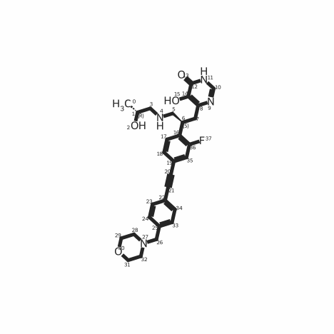 C[C@@H](O)CNC[C@@H](Cc1nc[nH]c(=O)c1O)c1ccc(C#Cc2ccc(CN3CCOCC3)cc2)cc1F